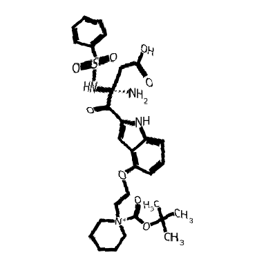 CC(C)(C)OC(=O)[N+]1(CCOc2cccc3[nH]c(C(=O)[C@](N)(CC(=O)O)NS(=O)(=O)c4ccccc4)cc23)CCCCC1